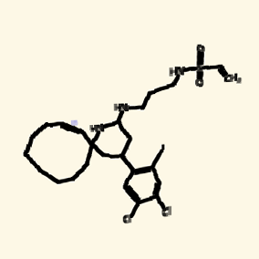 C=CS(=O)(=O)NCCCNC1CC(c2cc(Cl)c(Cl)cc2I)CC2(/C=C\CCCCCCC2)N1